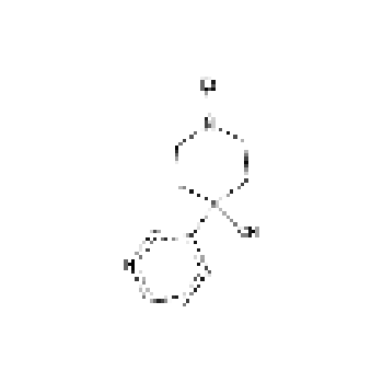 CCN1CCC(C#N)(c2cnccn2)CC1